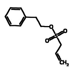 C=CCS(=O)(=O)OCCc1ccccc1